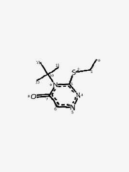 CCSc1nncc(=O)n1C(C)(C)C